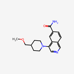 COCC1CCN(c2cncc3ccc(C(N)=O)cc23)CC1